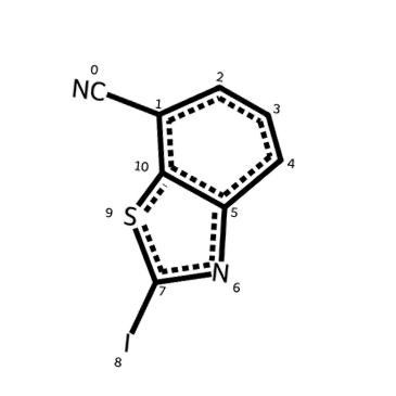 N#Cc1cccc2nc(I)sc12